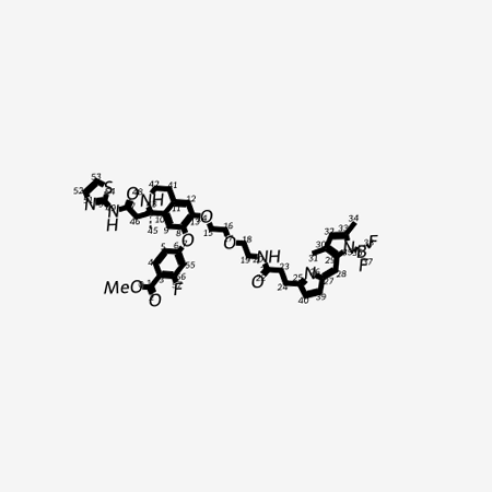 COC(=O)c1ccc(Oc2cc3c(cc2OCCOCCNC(=O)CCC2=N/C(=C\c4c(C)cc(C)n4B(F)F)C=C2)CCN[C@]3(C)CC(=O)Nc2nccs2)cc1F